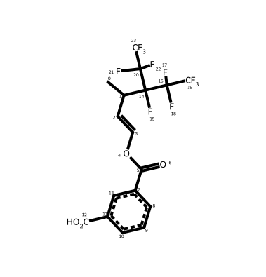 CC(C=COC(=O)c1cccc(C(=O)O)c1)C(F)(C(F)(F)C(F)(F)F)C(F)(F)C(F)(F)F